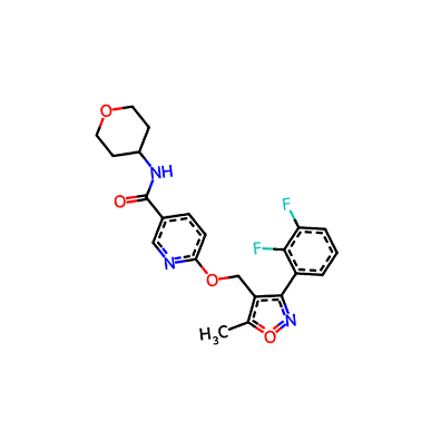 Cc1onc(-c2cccc(F)c2F)c1COc1ccc(C(=O)NC2CCOCC2)cn1